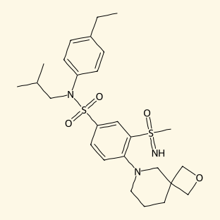 CCc1ccc(N(CC(C)C)S(=O)(=O)c2ccc(N3CCCC4(COC4)C3)c(S(C)(=N)=O)c2)cc1